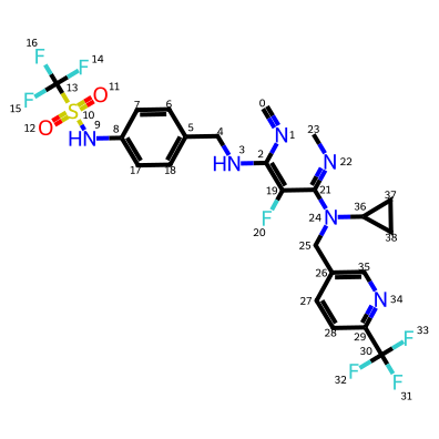 C=N/C(NCc1ccc(NS(=O)(=O)C(F)(F)F)cc1)=C(F)\C(=N/C)N(Cc1ccc(C(F)(F)F)nc1)C1CC1